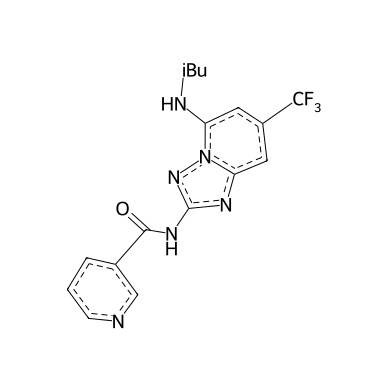 CCC(C)Nc1cc(C(F)(F)F)cc2nc(NC(=O)c3cccnc3)nn12